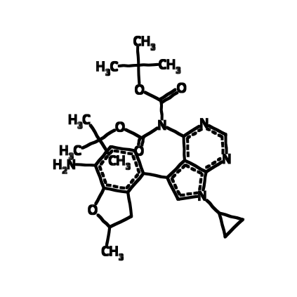 CC1Cc2c(-c3cn(C4CC4)c4ncnc(N(C(=O)OC(C)(C)C)C(=O)OC(C)(C)C)c34)ccc(N)c2O1